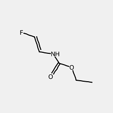 CCOC(=O)NC=CF